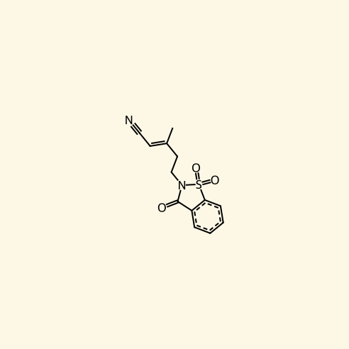 CC(=CC#N)CCN1C(=O)c2ccccc2S1(=O)=O